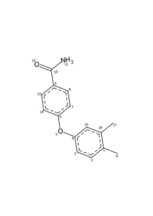 Cc1ccc(Oc2ccc(C(N)=O)cc2)cc1C